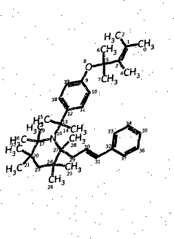 CC(C)=C(C)C(C)(C)Oc1ccc(C(C)(C)N2C(C)(C)C(C)(C)CC(C)(C)C2(C)CC=Cc2ccccc2)cc1